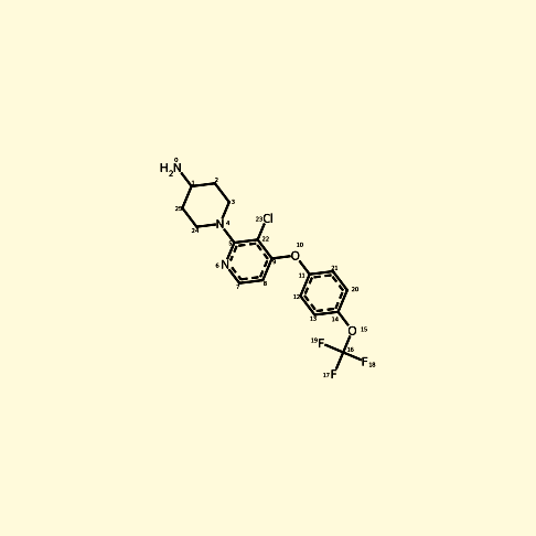 NC1CCN(c2nccc(Oc3ccc(OC(F)(F)F)cc3)c2Cl)CC1